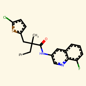 CC(C)CC(C)(Cc1ccc(Cl)s1)C(=O)Nc1cnc2c(F)cccc2c1